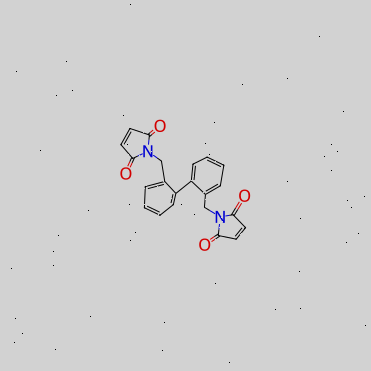 O=C1C=CC(=O)N1Cc1ccccc1-c1ccccc1CN1C(=O)C=CC1=O